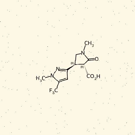 CN1C[C@H](c2cc(C(F)(F)F)n(C)n2)[C@@H](C(=O)O)C1=O